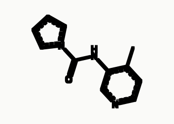 Cc1ccncc1NC(=O)n1cccc1